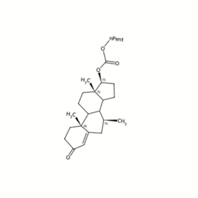 CCCCCOC(=O)O[C@H]1CCC2C3C(CC[C@@]21C)[C@@]1(C)CCC(=O)C=C1C[C@@H]3C